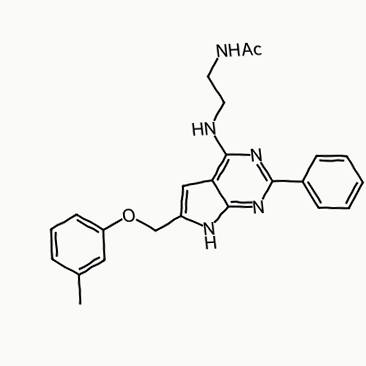 CC(=O)NCCNc1nc(-c2ccccc2)nc2[nH]c(COc3cccc(C)c3)cc12